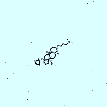 CO[C@]12CC[C@H](c3ccoc3)[C@@]1(C)CC[C@H]1[C@H]2CC[C@@H]2C[C@@H](SCCCN)CC[C@@]21C